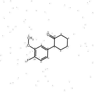 COc1cc(C2CCCCC2=O)ccc1F